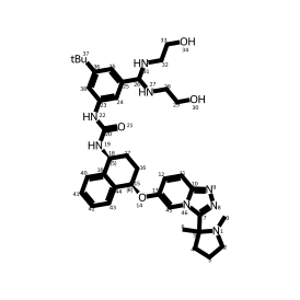 CN1CCCC1(C)c1nnc2ccc(O[C@@H]3CC[C@H](NC(=O)Nc4cc(C(NCCO)NCCO)cc(C(C)(C)C)c4)c4ccccc43)cn12